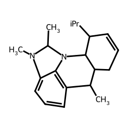 CC(C)C1C=CCC2C(C)c3cccc4c3N(C12)C(C)N4C